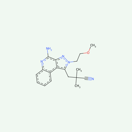 COCCn1nc2c(N)nc3ccccc3c2c1CC(C)(C)C#N